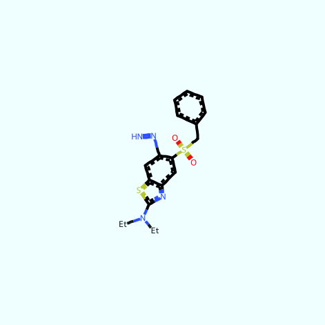 CCN(CC)c1nc2cc(S(=O)(=O)Cc3ccccc3)c(N=N)cc2s1